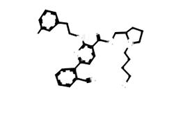 N#Cc1ccccc1-c1ccc(C(=O)NCC2CCCN2CCCCN)c(NCCc2cccc(F)c2)n1